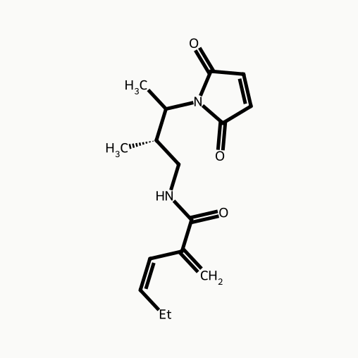 C=C(/C=C\CC)C(=O)NC[C@H](C)C(C)N1C(=O)C=CC1=O